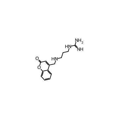 N=C(N)NCCCNCc1cc(=O)oc2ccccc12